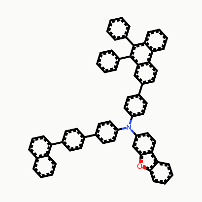 c1ccc(-c2c(-c3ccccc3)c3cc(-c4ccc(N(c5ccc(-c6ccc(-c7cccc8ccccc78)cc6)cc5)c5ccc6c(c5)oc5ccccc56)cc4)ccc3c3ccccc23)cc1